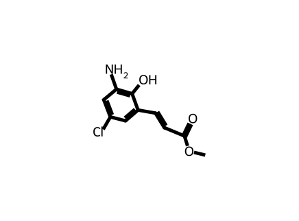 COC(=O)C=Cc1cc(Cl)cc(N)c1O